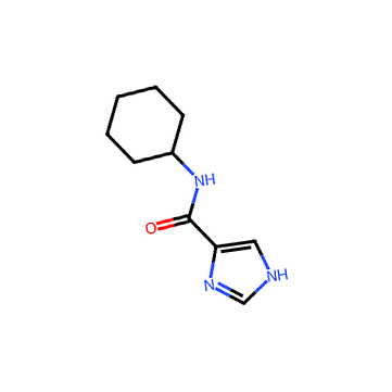 O=C(NC1CCCCC1)c1c[nH]cn1